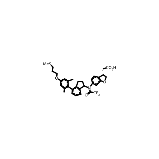 CSCCCOc1cc(C)c(-c2cccc3c2CCC3N(C(=O)C(F)(F)F)c2ccc3c(c2)OC[C@H]3CC(=O)O)c(C)c1